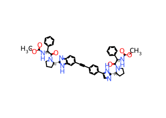 COC(=O)N[C@@H](C(=O)N1CCC[C@@H]1c1ncc(-c2ccc(C#Cc3ccc4nc([C@@H]5CCCN5C(=O)[C@H](NC(=O)OC)c5ccccc5)[nH]c4c3)cc2)[nH]1)c1ccccc1